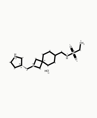 CCS(=O)(=O)NCC1CCC2(CC1)CN(C[C@@H]1CCNC1)C2.Cl